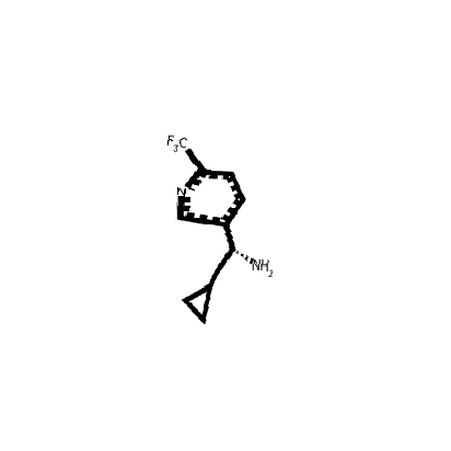 N[C@@H](c1ccc(C(F)(F)F)nc1)C1CC1